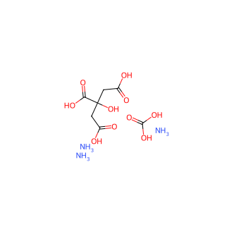 N.N.N.O=C(O)CC(O)(CC(=O)O)C(=O)O.O=C(O)O